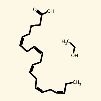 CC/C=C\C/C=C\C/C=C\C/C=C\C/C=C\CCCC(=O)O.CCO